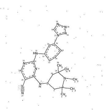 CN1C(C)(C)CC(Nc2nc(Nc3cccc(-n4cnnn4)c3)ncc2C#N)CC1(C)C